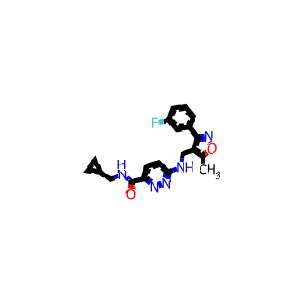 Cc1onc(-c2cccc(F)c2)c1CNc1ccc(C(=O)NCC2CC2)nn1